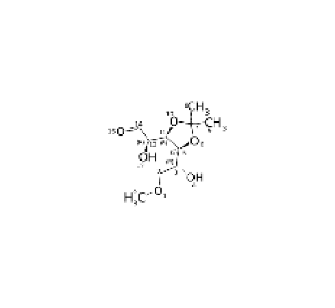 COC[C@@H](O)[C@@H]1OC(C)(C)O[C@@H]1[C@@H](O)C=O